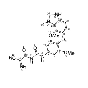 COc1cc(NC(=O)NC(=O)C(=N)C#N)cc(OC)c1Oc1ccc2c(c1)N(C)CN2